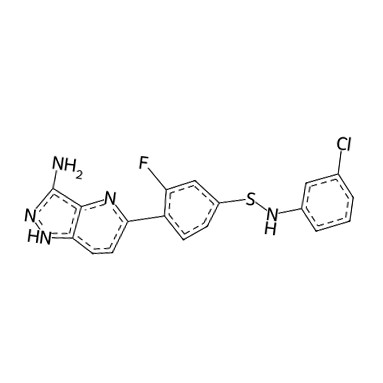 Nc1n[nH]c2ccc(-c3ccc(SNc4cccc(Cl)c4)cc3F)nc12